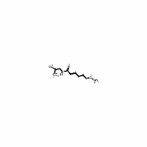 CC(C)(C)C(CNC(=O)CCCCCO[N+](=O)[O-])C(=O)O